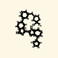 FC1(F)CCN(Cc2cncc(-c3ccc4[nH]nc(-c5nc6c(-c7cccs7)cncc6[nH]5)c4c3)c2)C1